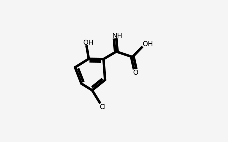 N=C(C(=O)O)c1cc(Cl)ccc1O